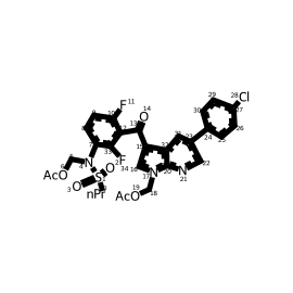 CCCS(=O)(=O)N(COC(C)=O)c1ccc(F)c(C(=O)c2cn(COC(C)=O)c3ncc(-c4ccc(Cl)cc4)cc23)c1F